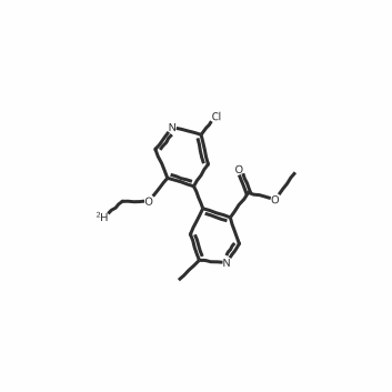 [2H]COc1cnc(Cl)cc1-c1cc(C)ncc1C(=O)OC